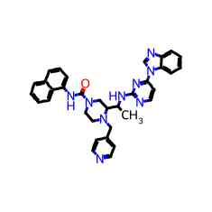 CC(Nc1nccc(-n2cnc3ccccc32)n1)C1CN(C(=O)Nc2cccc3ccccc23)CCN1Cc1ccncc1